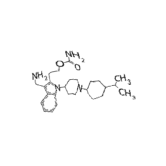 CC(C)C1CCC(N2CCC(n3c(CCOC(N)=O)c(CN)c4ccccc43)CC2)CC1